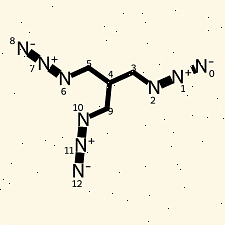 [N-]=[N+]=NCC(CN=[N+]=[N-])CN=[N+]=[N-]